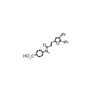 CC(C)c1cc(C=CC(=O)N(C)c2ccc(C(=O)O)cc2)oc1C(C)C